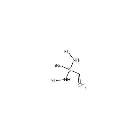 C=C[Si](NCC)(NCC)C(C)CC